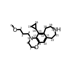 COCCCN1CCOc2cc3c(c(C4CC4)c21)CCNCC3